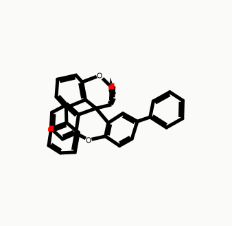 c1ccc(-c2ccc3c(c2)C2(c4ccccc4O3)c3ccccc3Oc3cccc(-c4ccccc4)c32)cc1